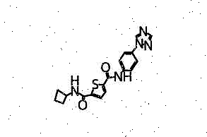 O=C(Nc1ccc(-n2cncn2)cc1)c1ccc(C(=O)NC2CCC2)s1